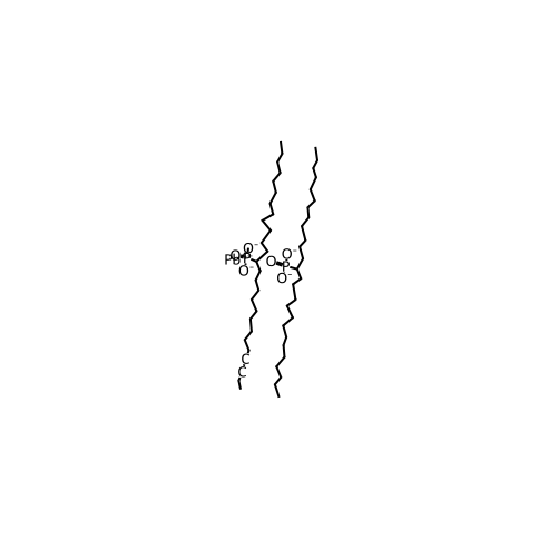 CCCCCCCCCCCCCC(CCCCCCCCCCCC)P(=O)([O-])[O-].CCCCCCCCCCCCCC(CCCCCCCCCCCC)P(=O)([O-])[O-].[Pb+4]